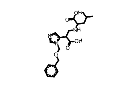 CC(C)CC(NCC(C(=O)O)c1cncn1COCc1ccccc1)C(=O)O